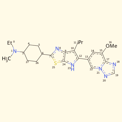 CCN(C)C1CCC(c2nc3c(C(C)C)c(-c4cc(OC)c5ncnn5c4)[nH]c3s2)CC1